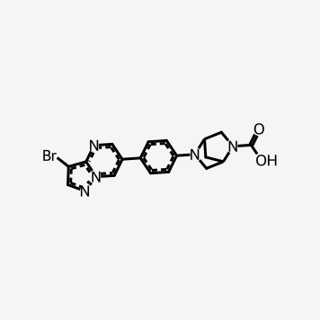 O=C(O)N1CC2CC1CN2c1ccc(-c2cnc3c(Br)cnn3c2)cc1